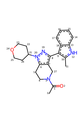 CC(=O)N1CCc2c(c(-c3c(C)[nH]c4ccccc34)nn2C2CCOCC2)C1